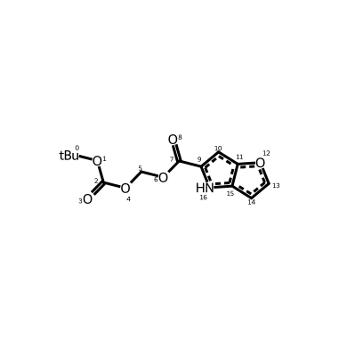 CC(C)(C)OC(=O)OCOC(=O)c1cc2occc2[nH]1